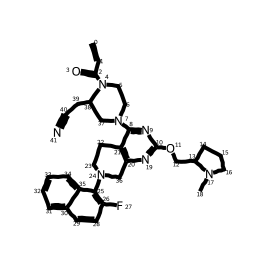 C=CC(=O)N1CCN(c2nc(OCC3CCCN3C)nc3c2CCN(c2c(F)ccc4ccccc24)C3)CC1CC#N